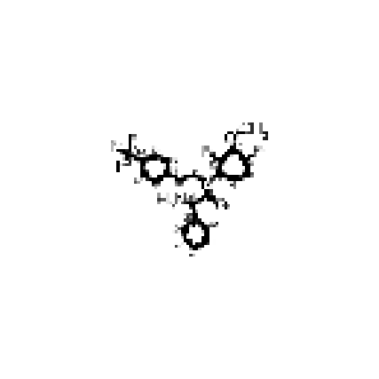 COc1c(F)ccc(N(CCc2ccc(C(F)(F)F)cc2)C(=O)C(N)c2ccccc2)c1F